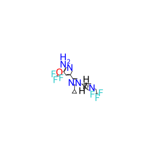 Nc1ncc(-c2cn(C3[C@H]4CN(CC(F)(F)F)C[C@@H]34)c(C3CC3)n2)cc1OC(F)(F)F